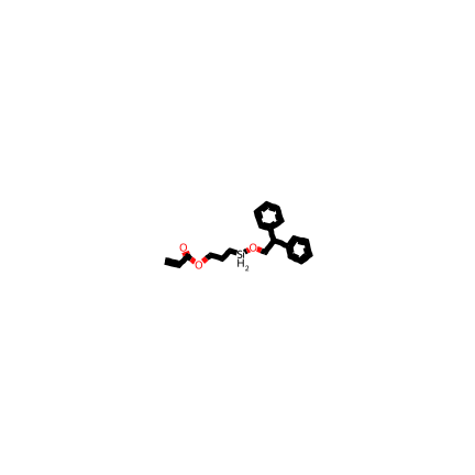 C=CC(=O)OCCC[SiH2]OCC(c1ccccc1)c1ccccc1